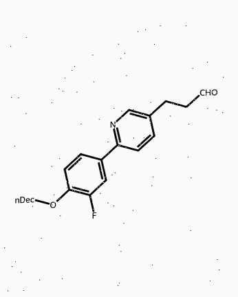 CCCCCCCCCCOc1ccc(-c2ccc(CCC=O)cn2)cc1F